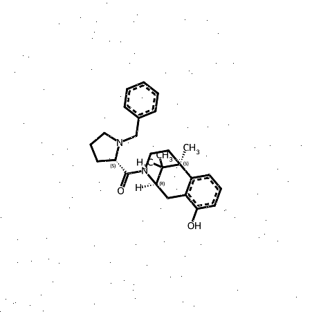 CC1(C)[C@H]2Cc3c(O)cccc3[C@]1(C)CCN2C(=O)[C@@H]1CCCN1Cc1ccccc1